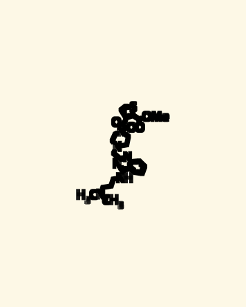 COC(=O)c1sccc1S(=O)(=O)N1CCN(Cc2nc(NCCCN(C)C)c3ccccc3n2)CC1